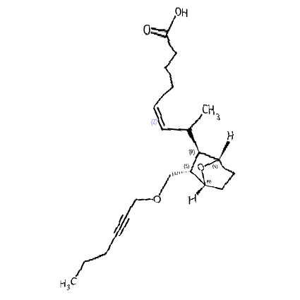 CCCC#CCOC[C@@H]1[C@@H](C(C)/C=C\CCCC(=O)O)[C@@H]2CC[C@H]1O2